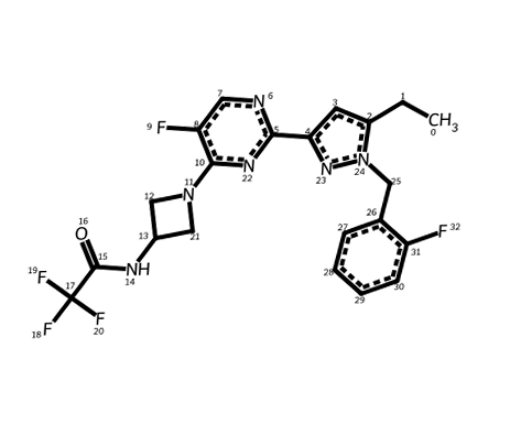 CCc1cc(-c2ncc(F)c(N3CC(NC(=O)C(F)(F)F)C3)n2)nn1Cc1ccccc1F